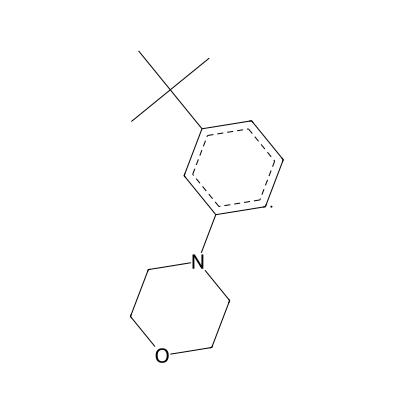 CC(C)(C)c1cc[c]c(N2CCOCC2)c1